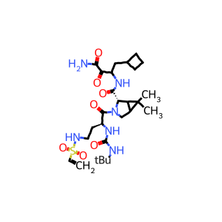 C=CS(=O)(=O)NCC[C@H](NC(=O)NC(C)(C)C)C(=O)N1CC2C([C@H]1C(=O)NC(CC1CCC1)C(=O)C(N)=O)C2(C)C